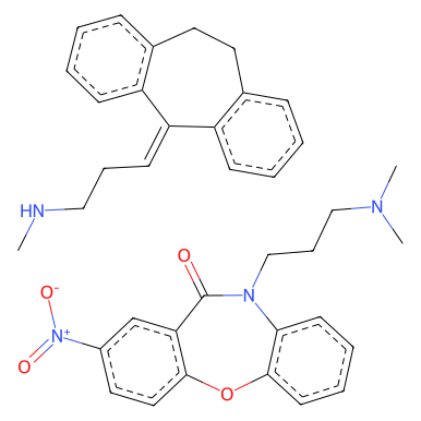 CN(C)CCCN1C(=O)c2cc([N+](=O)[O-])ccc2Oc2ccccc21.CNCCC=C1c2ccccc2CCc2ccccc21